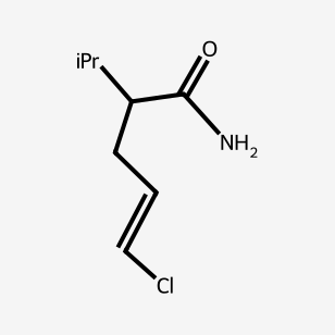 CC(C)C(CC=CCl)C(N)=O